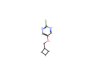 Clc1ncc(OCC2CCC2)cn1